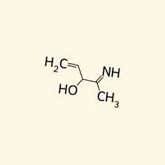 C=CC(O)C(C)=N